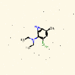 CCN(CC)c1c(Cl)cc(C)c2c1N2.F